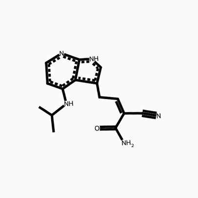 CC(C)Nc1ccnc2[nH]cc(CC=C(C#N)C(N)=O)c12